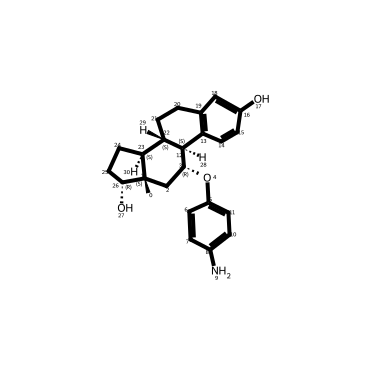 C[C@]12C[C@@H](Oc3ccc(N)cc3)[C@@H]3c4ccc(O)cc4CC[C@H]3[C@@H]1CC[C@H]2O